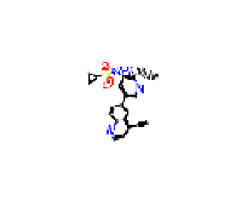 C#Cc1ccnc2ccc(-c3cnc(OC)c(NS(=O)(=O)C4CC4)c3)cc12